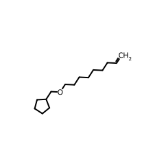 C=CCCCCCCCOCC1CCCC1